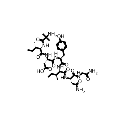 CC[C@H](C)[C@H](NC(=O)[C@H](Cc1ccc(O)cc1)NC(=O)[C@H](CC(=O)O)NC(=O)[C@@H](NC(=O)C(C)(C)N)[C@@H](C)CC)C(=O)N[C@@H](CC(N)=O)C(=O)NCC(N)=O